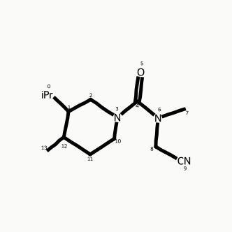 CC(C)C1CN(C(=O)N(C)CC#N)CCC1C